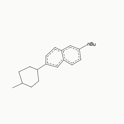 CCCCc1ccc2cc(C3CCC(C)CC3)ccc2c1